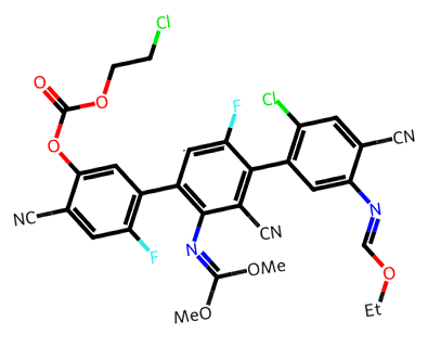 CCOC=Nc1cc(-c2c(F)[c]c(-c3cc(OC(=O)OCCCl)c(C#N)cc3F)c(N=C(OC)OC)c2C#N)c(Cl)cc1C#N